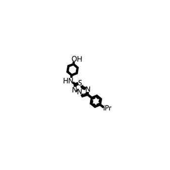 CC(C)c1ccc(-c2cn3nc(NC4CCC(O)CC4)sc3n2)cc1